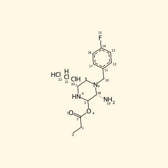 CCC(=O)OC1NCCN(Cc2ccc(F)cc2)[C@@H]1N.Cl.Cl.Cl